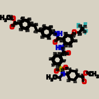 CCN(C1CCC(C(=O)OC)CC1)S(=O)(=O)c1cccc(C(=O)Nc2ccc(OCC(F)(F)F)cc2C(=O)Nc2ccc(CCc3ccc(C(=O)OC)cc3)cc2)c1